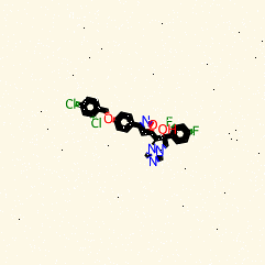 C[C@@H](c1cc(-c2ccc(OCc3ccc(Cl)cc3Cl)cc2)no1)[C@](O)(Cn1cncn1)c1ccc(F)cc1F